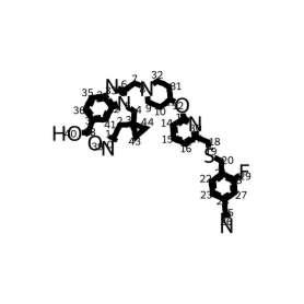 N#CCC1(Cn2c(CN3CCC(Oc4cccc(CSCc5ccc(C#N)cc5F)n4)CC3)nc3ccc(C(=O)O)cc32)CC1